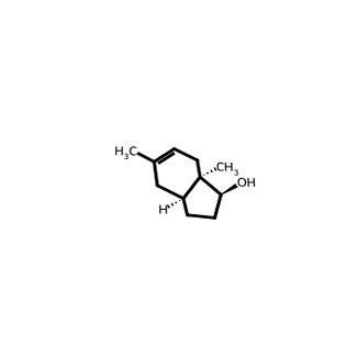 CC1=CC[C@]2(C)[C@@H](CC[C@@H]2O)C1